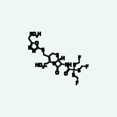 O=C(O)C1=C(CSc2nnc(CS(=O)(=O)O)o2)CS[C@@H]2C(NC(=O)C(SCF)(SCF)SCF)C(=O)N12